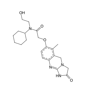 Cc1c(OCC(=O)N(CCO)C2CCCCC2)ccc2c1CN1CC(=O)NC1=N2